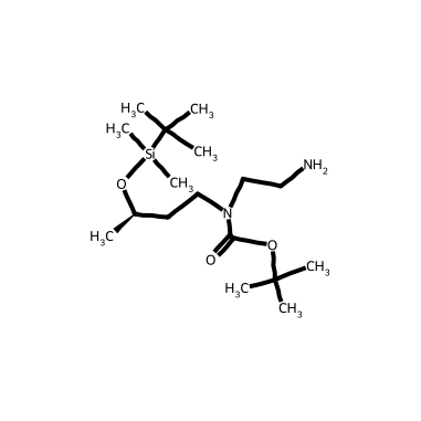 C[C@H](CCN(CCN)C(=O)OC(C)(C)C)O[Si](C)(C)C(C)(C)C